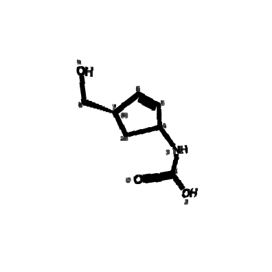 O=C(O)NC1C=C[C@H](CO)C1